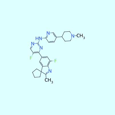 CC1=Nc2c(F)cc(-c3nc(Nc4ccc(C5CCN(C)CC5)cn4)ncc3F)cc2C12CCCC2